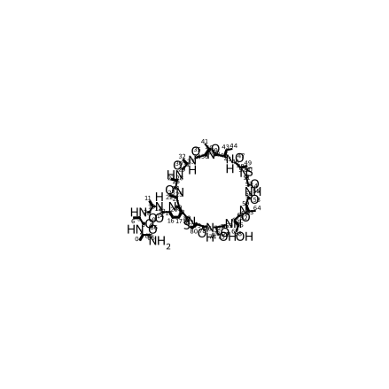 C=C(NC(=O)C(=C)NC(=O)C(=C)NC(=O)c1ccc2c(n1)-c1coc(n1)C(=C)NC(=O)C(=C)NC(=O)c1nc(oc1C)/C(=C/C)NC(=O)c1csc(n1)C(OC)NC(=O)c1nc(oc1C)/C(=C/CO)NC(=O)C([C@@H](C)O)NC(=O)c1csc-2n1)C(N)=O